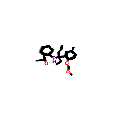 CCCC(CC)(Pc1ccccc1C(C)=O)c1cc(C)ccc1OCOC